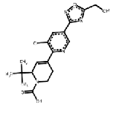 CC(C)(C)C1C=C(c2ncc(-c3noc(CO)n3)cc2Cl)CCN1C(=O)O